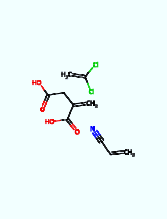 C=C(CC(=O)O)C(=O)O.C=C(Cl)Cl.C=CC#N